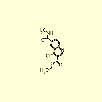 CCOC(=O)c1cnc2ccc(C(=O)NC)cc2c1Cl